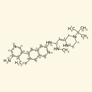 CNC(/C=C1/CN(C(C)(C)C)CCN1)Nc1cc2cc(-c3cncc(N)c3C)c(F)cc2cn1